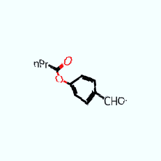 CCCC(=O)Oc1ccc([C]=O)cc1